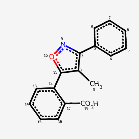 Cc1c(-c2ccccc2)noc1-c1ccccc1C(=O)O